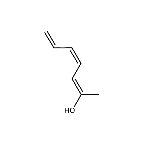 C=C/C=C\C=C(/C)O